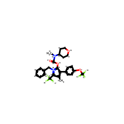 Cc1c(-c2ccc(OC(F)(F)F)cc2)c(OC(=O)N(C)C2CCOCC2)n(Cc2ccccc2)c1C(F)(F)F